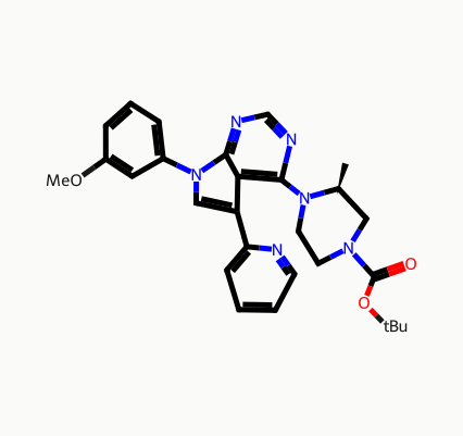 COc1cccc(-n2cc(-c3ccccn3)c3c(N4CCN(C(=O)OC(C)(C)C)C[C@@H]4C)ncnc32)c1